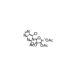 CC(=O)OC[C@H]1O[C@@H](n2c(Cl)nc3ncnc-3c2Cl)[C@H](OC(C)=O)[C@H]1OC(C)=O